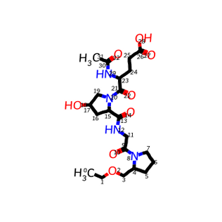 CCOCC1CCCN1C(=O)CNC(=O)C1CC(O)CN1C(=O)C(CCC(=O)O)NC(C)=O